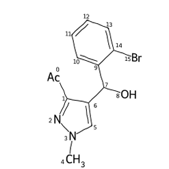 CC(=O)c1nn(C)cc1C(O)c1ccccc1Br